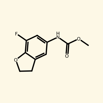 COC(=O)Nc1cc(F)c2c(c1)CCO2